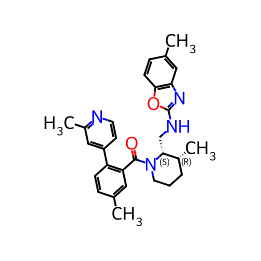 Cc1ccc(-c2ccnc(C)c2)c(C(=O)N2CCC[C@@H](C)[C@H]2CNc2nc3cc(C)ccc3o2)c1